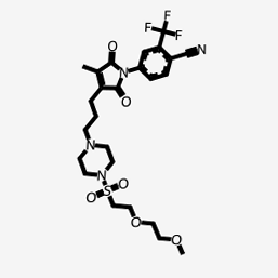 COCCOCCS(=O)(=O)N1CCN(CCCC2=C(C)C(=O)N(c3ccc(C#N)c(C(F)(F)F)c3)C2=O)CC1